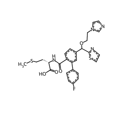 CSCC[C@H](NC(=O)c1ccc(C(OCCn2ccnc2)c2nccs2)cc1-c1ccc(F)cc1)C(=O)O